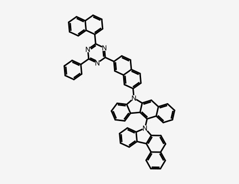 c1ccc(-c2nc(-c3ccc4ccc(-n5c6ccccc6c6c(-n7c8ccccc8c8c9ccccc9ccc87)c7ccccc7cc65)cc4c3)nc(-c3cccc4ccccc34)n2)cc1